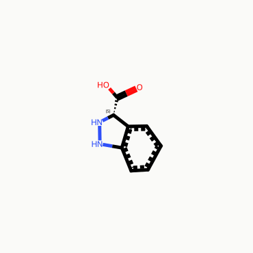 O=C(O)[C@H]1NNc2ccccc21